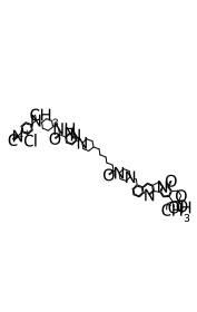 [C-]#[N+]c1ccc(N(C)C2CCC(NC(=O)c3ccc(N4CCC(CCCCCC(=O)N5CCN(Cc6cccc7nc8c(cc67)Cn6c-8cc7c(c6=O)COC(=O)[C@]7(O)CC)CC5)CC4)nn3)CC2)cc1Cl